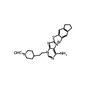 Nc1ncn(CCC2CCN(C=O)CC2)c2nc(Sc3cc4c(cc3Br)CCC4)nc1-2